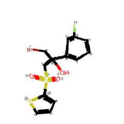 O=S(=O)(CC(O)(CBr)c1cccc(F)c1)c1cccs1